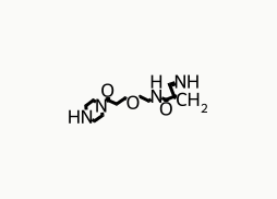 C=C(C=N)C(=O)NCCOCCC(=O)N1CCNCC1